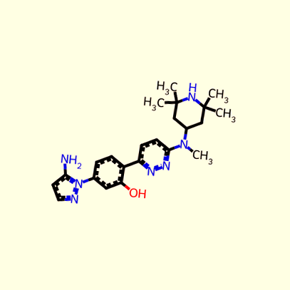 CN(c1ccc(-c2ccc(-n3nccc3N)cc2O)nn1)C1CC(C)(C)NC(C)(C)C1